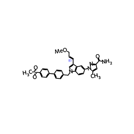 COC/C=C/c1cn(Cc2ccc(-c3ccc(S(C)(=O)=O)cc3)cc2)c2ccc(-n3nc(C(N)=O)cc3C)cc12